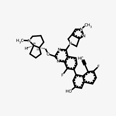 C#Cc1c(F)ccc2cc(O)cc(-c3ccc4c(N5Cc6cn(C)nc6C5)nc(OC[C@]56CCC[C@H]5N(C)CCC6)nc4c3F)c12